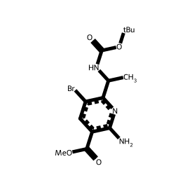 COC(=O)c1cc(Br)c(C(C)NC(=O)OC(C)(C)C)nc1N